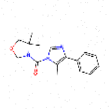 Cc1c(-c2ccccc2)ncn1C(=O)N1COCC1(C)C